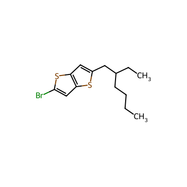 CCCCC(CC)Cc1cc2sc(Br)cc2s1